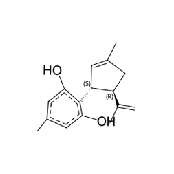 C=C(C)[C@@H]1CC(C)=C[C@H]1c1c(O)cc(C)cc1O